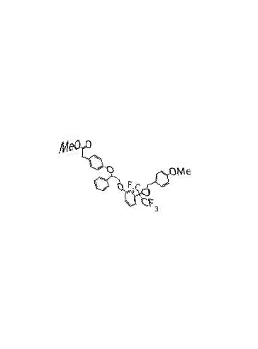 COC(=O)Cc1ccc(OC(COc2cccc(C(OCc3ccc(OC)cc3)(C(F)(F)F)C(F)(F)F)c2)c2ccccc2)cc1